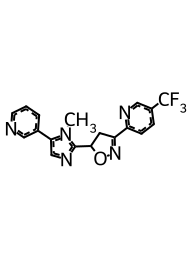 Cn1c(-c2cccnc2)cnc1C1CC(c2ccc(C(F)(F)F)cn2)=NO1